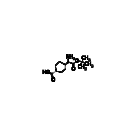 CC(C)(C)OC(=O)C(N)[C@H]1CC[C@H](C(=O)O)CC1